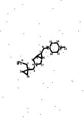 CC(C)CC1(CN2CC3C(CN4CCN(C)CC4)C3C2)CC1